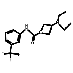 CCN(CC)C1CN(C(=O)Nc2cccc(C(F)(F)F)c2)C1